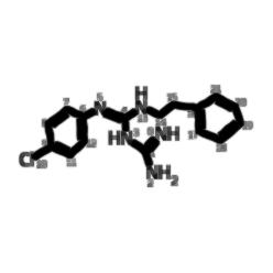 N=C(N)NC(=Nc1ccc(Cl)cc1)NCCc1ccccc1